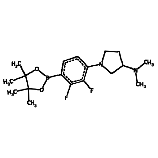 CN(C)C1CCN(c2ccc(B3OC(C)(C)C(C)(C)O3)c(F)c2F)C1